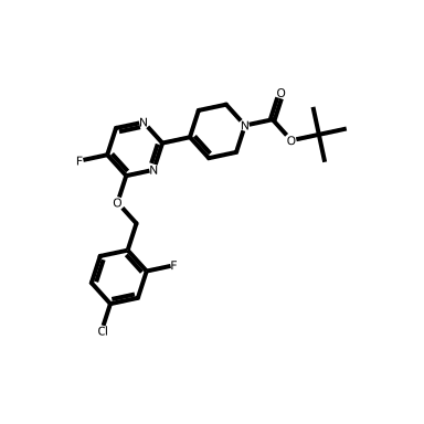 CC(C)(C)OC(=O)N1CC=C(c2ncc(F)c(OCc3ccc(Cl)cc3F)n2)CC1